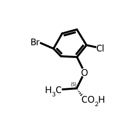 C[C@H](Oc1cc(Br)ccc1Cl)C(=O)O